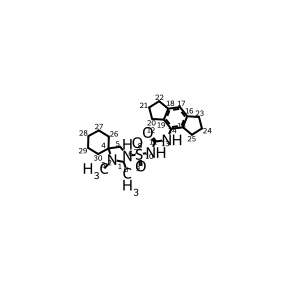 CCN(C)C1(CNS(=O)(=O)NC(=O)Nc2c3c(cc4c2CCC4)CCC3)CCCCC1